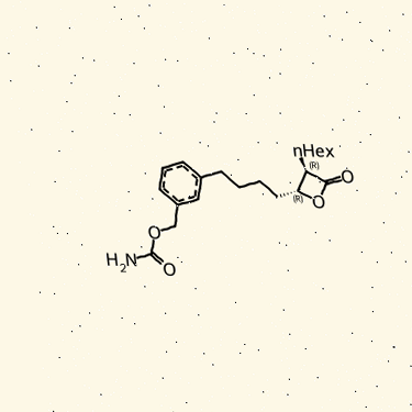 CCCCCC[C@H]1C(=O)O[C@@H]1CCCCc1cccc(COC(N)=O)c1